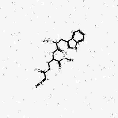 CC(=O)NC(Cc1c[nH]c2ccccc12)C(=O)NC(CCC(=O)C=[N+]=[N-])C(=O)OC(C)C